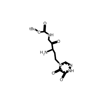 CC(C)(C)OC(=O)NCC(=O)C(N)CCn1[c]n[nH]c(=O)c1=O